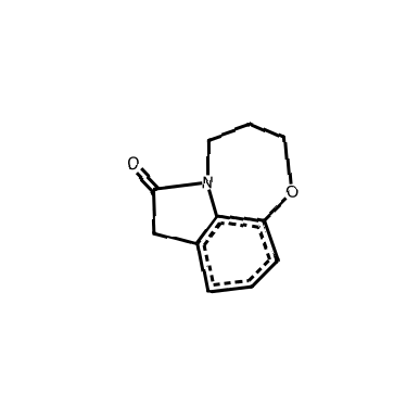 O=C1Cc2cccc3c2N1CCCO3